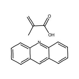 C=C(C)C(=O)O.c1ccc2nc3ccccc3cc2c1